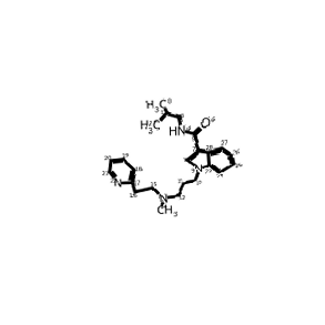 CC(C)CNC(=O)c1cn(CCCN(C)CCc2ccccn2)c2ccccc12